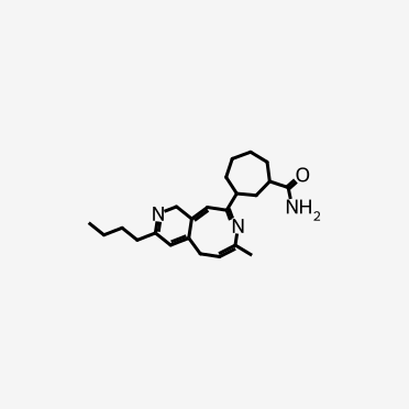 CCCCC1=NC/C2=C/C(C3CCCCC(C(N)=O)C3)=N\C(C)=C/CC2=C1